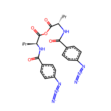 CC(C)[C@H](NC(=O)c1ccc(N=[N+]=[N-])cc1)C(=O)OC(=O)[C@@H](NC(=O)c1ccc(N=[N+]=[N-])cc1)C(C)C